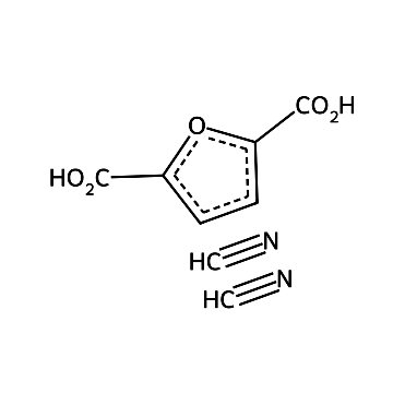 C#N.C#N.O=C(O)c1ccc(C(=O)O)o1